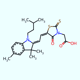 Cc1ccc2c(c1)C(C)(C)/C(=C/C=C1/SC(=S)N(CC(=O)O)C1=O)N2CCC(C)C